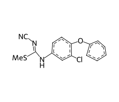 CSC(=NC#N)Nc1ccc(Oc2ccccc2)c(Cl)c1